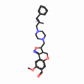 COc1cc2c(cc1C=O)OCC1C2=NOC1CN1CCN(C/C(C)=C/c2ccccc2)CC1